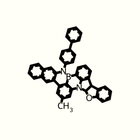 Cc1cc2c3c(c1)N1c4c(cccc4C4c5ccccc5OC41)B3N(c1ccc(-c3ccccc3)cc1)c1cc3ccccc3cc1-2